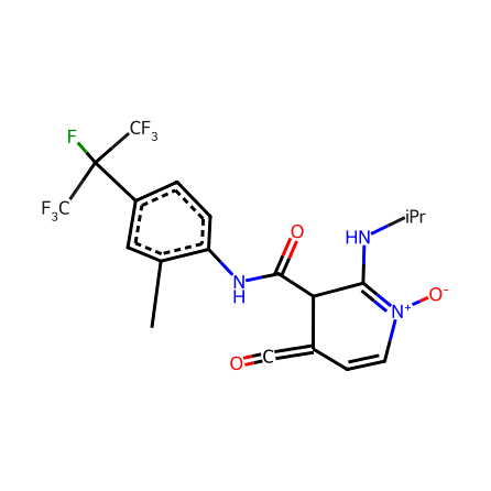 Cc1cc(C(F)(C(F)(F)F)C(F)(F)F)ccc1NC(=O)C1C(=C=O)C=C[N+]([O-])=C1NC(C)C